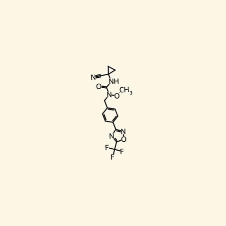 CON(Cc1ccc(-c2noc(C(F)(F)F)n2)cc1)C(=O)NC1(C#N)CC1